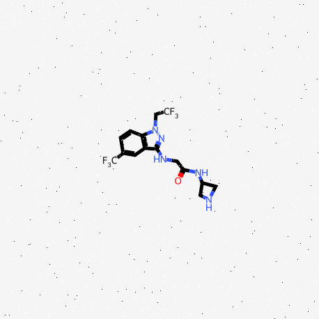 O=C(CNc1nn(CC(F)(F)F)c2ccc(C(F)(F)F)cc12)NC1CNC1